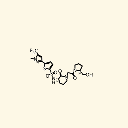 Cn1nc(-c2ccc(S(=O)(=O)N[C@H]3CCCN(CC(=O)N4CCC[C@H]4CO)C3=O)s2)cc1C(F)(F)F